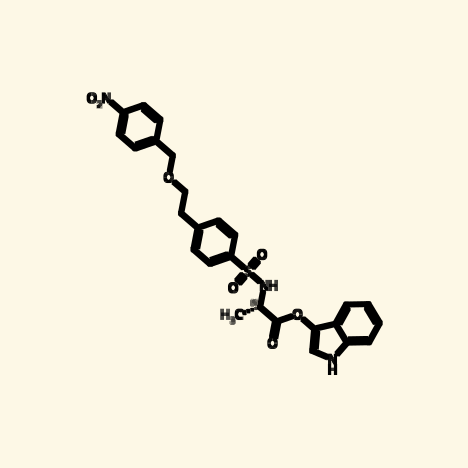 C[C@H](NS(=O)(=O)c1ccc(CCOCc2ccc([N+](=O)[O-])cc2)cc1)C(=O)Oc1c[nH]c2ccccc12